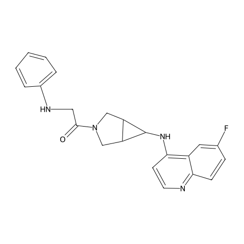 O=C(CNc1ccccc1)N1CC2C(C1)C2Nc1ccnc2ccc(F)cc12